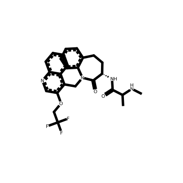 CNC(C)C(=O)N[C@H]1CCc2ccccc2N(Cc2c(OCC(F)(F)F)cnc3ccccc23)C1=O